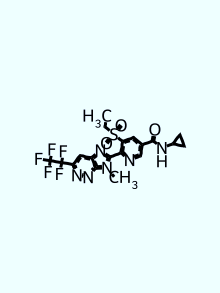 CCS(=O)(=O)c1cc(C(=O)NC2CC2)cnc1-c1nc2cc(C(F)(F)C(F)(F)F)nnc2n1C